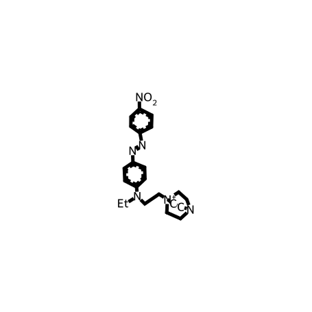 CCN(CC[N+]12CCN(CC1)CC2)c1ccc(N=Nc2ccc([N+](=O)[O-])cc2)cc1